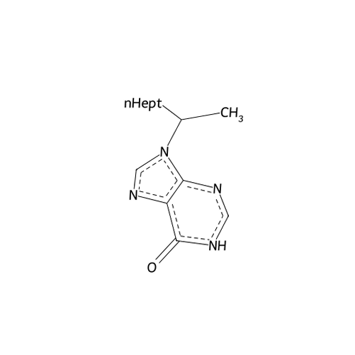 CCCCCCCC(C)n1cnc2c(=O)[nH]cnc21